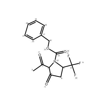 CC(=O)C1C(=O)CC(C(F)(F)F)N1C(=O)OCc1ccccc1